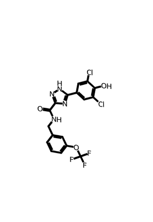 O=C(NCc1cccc(OC(F)(F)F)c1)c1n[nH]c(-c2cc(Cl)c(O)c(Cl)c2)n1